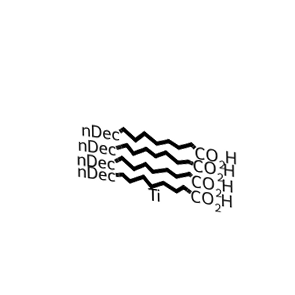 CCCCCCCCCCCCCCCCCC(=O)O.CCCCCCCCCCCCCCCCCC(=O)O.CCCCCCCCCCCCCCCCCC(=O)O.CCCCCCCCCCCCCCCCCC(=O)O.[Ti]